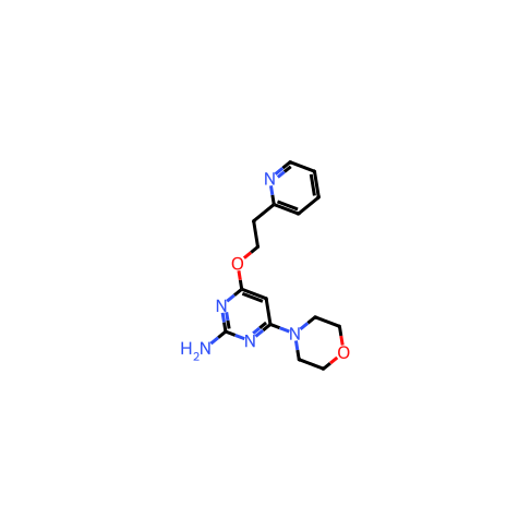 Nc1nc(OCCc2ccccn2)cc(N2CCOCC2)n1